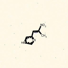 C/C(=C\c1c[nH]cn1)[N+](=O)[O-]